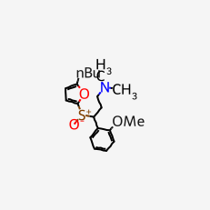 CCCCc1ccc([S+]([O-])C(CCN(C)C)c2ccccc2OC)o1